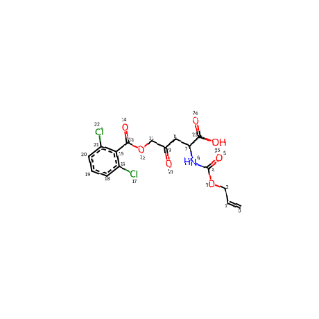 C=CCOC(=O)NC(CC(=O)COC(=O)c1c(Cl)cccc1Cl)C(=O)O